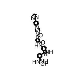 N=C(NO)c1cccc(-c2n[nH]c3ccc(NC(=O)[C@@H]4CCN(CC(=O)N5CCN(c6ccc(-c7ncccn7)cc6)CC5)C4)cc23)c1